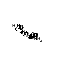 NC[C@]1(c2ccccc2F)[C@@H]2CCN(c3ccc4nc(Sc5ccnc(N)c5Cl)cnc4n3)C[C@@H]21